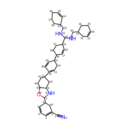 N#CC1=CC=CC(C2NC3CC(C4=CCC(C5C=CC(C(NCC6C=CCCC6)NCC6CC=CCC6)CC5)C=C4)CCC3O2)C1